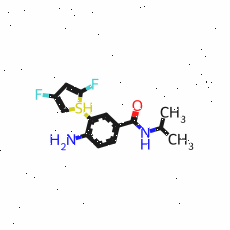 CC(C)NC(=O)c1ccc(N)c([SH]2C=C(F)C=C2F)c1